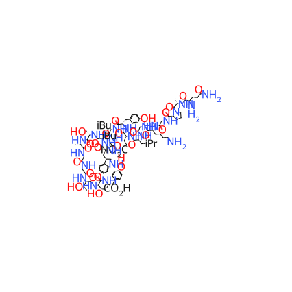 CC[C@H](C)[C@H](NC(=O)[C@H](Cc1ccc(O)cc1)NC(=O)[C@H](CCC(=O)O)NC(=O)[C@H](CC(C)C)NC(=O)CNC(=O)[C@H](CCCCN)NC(=O)CNC(=O)[C@@H]1CCCN1C(=O)[C@H](C)NC(=O)[C@@H](N)CCC(N)=O)C(=O)NCC(=O)N[C@@H](Cc1c[nH]c2ccccc12)C(=O)N[C@H](C(=O)N[C@@H](CO)C(=O)N[C@@H](C)C(=O)NCC(=O)NCC(=O)N[C@H](C(=O)N[C@H](C(=O)N[C@@H](Cc1ccc(O)cc1)C(=O)O)[C@@H](C)O)[C@@H](C)O)[C@@H](C)CC